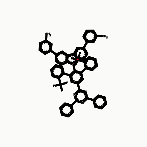 Cc1cccc(-c2ccc3c(c2)c2cc(-c4cccc(C)c4)ccc2n3-c2c(-c3ccccc3C(F)(F)F)cc(-c3nc(-c4ccccc4)nc(-c4ccccc4)n3)cc2-c2ccccc2C(F)(F)F)c1